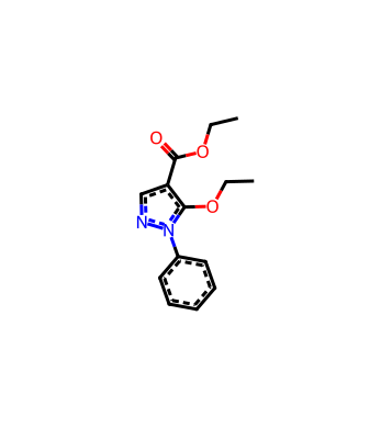 CCOC(=O)c1cnn(-c2ccccc2)c1OCC